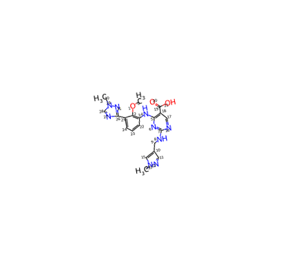 COc1c(Nc2nc(NCc3cnn(C)c3)ncc2C(=O)O)cccc1-c1ncn(C)n1